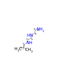 CC(C)=CNCCNCCN